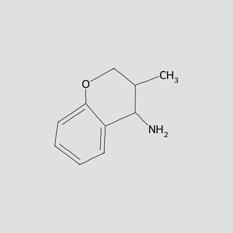 CC1COc2ccccc2C1N